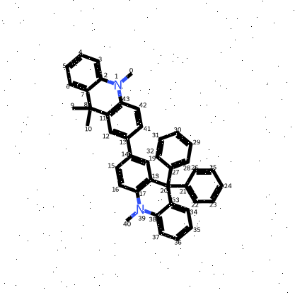 CN1c2ccccc2C(C)(C)c2cc(-c3ccc4c(c3)C(c3ccccc3)(c3ccccc3)c3ccccc3N4C)ccc21